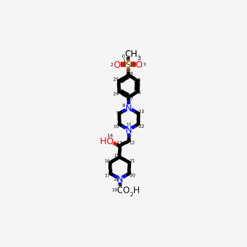 CS(=O)(=O)c1ccc(N2CCN(CC(O)C3CCN(C(=O)O)CC3)CC2)cc1